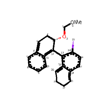 COCO[C@H]1CC=c2ccccc2=C1c1c(I)ccc2c1=CCCC=2